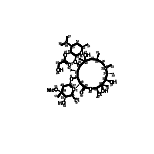 CC[C@@H]1O[C@@H](O[C@H]2[C@H](C)[C@@H](O[C@@H]3O[C@H](C)C[C@H](N(C)C)[C@H]3OC(=O)CO)[C@](C)(O)C[C@@H](C)CN(C)[C@H](C)[C@@H](O)[C@](C)(O)[C@@H](CC)OC(=O)[C@@H]2C)C[C@@](C)(OC)[C@H]1O